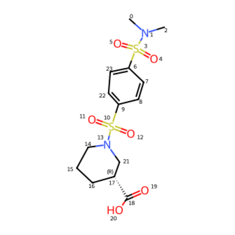 CN(C)S(=O)(=O)c1ccc(S(=O)(=O)N2CCC[C@@H](C(=O)O)C2)cc1